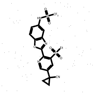 CCS(=O)(=O)c1cc(C2(C#N)CC2)cnc1-c1nc2cc(NS(=O)(=O)C(F)(F)F)ccc2o1